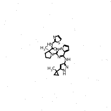 CC1(c2cc(Nc3nc(N4CCC[C@@]4(C)C(=O)Nc4nccs4)nn4cccc34)n[nH]2)CC1